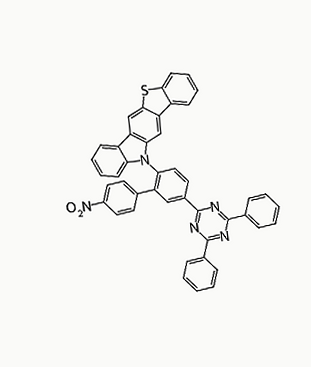 O=[N+]([O-])c1ccc(-c2cc(-c3nc(-c4ccccc4)nc(-c4ccccc4)n3)ccc2-n2c3ccccc3c3cc4sc5ccccc5c4cc32)cc1